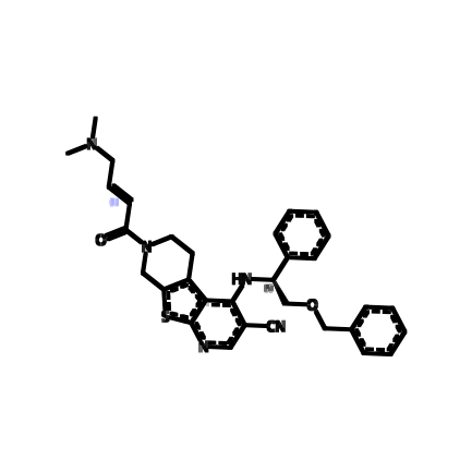 CN(C)C/C=C/C(=O)N1CCc2c(sc3ncc(C#N)c(N[C@H](COCc4ccccc4)c4ccccc4)c23)C1